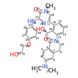 CN(C)c1ccc2c(c1)CCN(c1cccc(-c3cn(C)c(=O)c(Nc4ccc(OCCO)cc4)n3)c1CO)C2=O